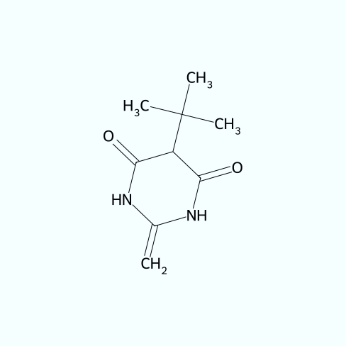 C=C1NC(=O)C(C(C)(C)C)C(=O)N1